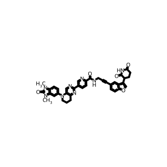 Cn1c(=O)n(C)c2cc(N3CCCc4nc(-c5ccc(C(=O)NCC#Cc6ccc7occ(C8CCC(=O)NC8=O)c7c6)nc5)ncc43)ccc21